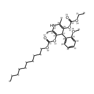 CCCCCCCCCCOC(=O)OC1=C(C)NC(C)=C(OC(=O)OCC)C1c1ccccc1OC